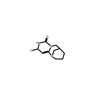 O=C1NC(Cl)C=C2N3CCCC(C3)CN12